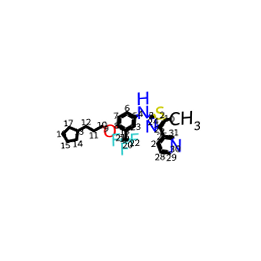 Cc1sc(Nc2ccc(OCCCC3CCCC3)c(C(F)(F)F)c2)nc1-c1cccnc1